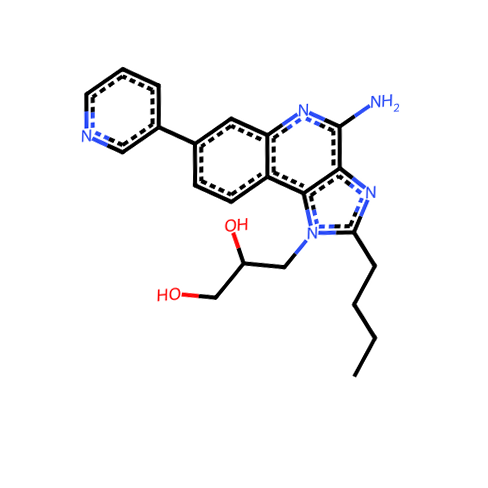 CCCCc1nc2c(N)nc3cc(-c4cccnc4)ccc3c2n1CC(O)CO